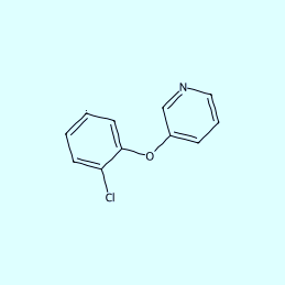 Clc1cc[c]cc1Oc1cccnc1